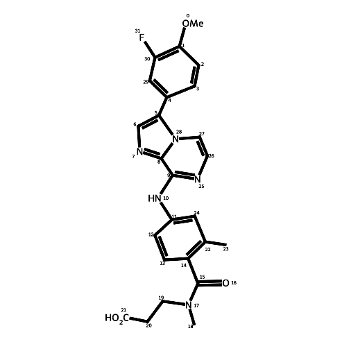 COc1ccc(-c2cnc3c(Nc4ccc(C(=O)N(C)CCC(=O)O)c(C)c4)nccn23)cc1F